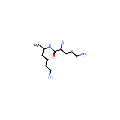 NCCCC[C@H](NC(=O)[C@@H](N)CCCN)C(=O)O